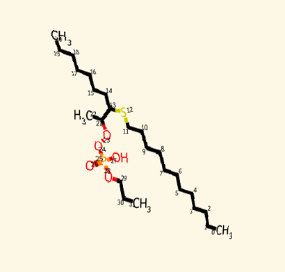 CCCCCCCCCCCCSC(CCCCCCC)C(C)OOP(=O)(O)OCCC